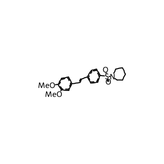 COc1ccc(/C=C/c2ccc(S(=O)(=O)N3CCCCC3)cc2)cc1OC